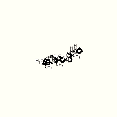 CCCOC12CC3(Cn4ncc(-c5ccc(N6CCCc7c6nnc(Nc6nc8ccccc8[nH]6)c7C)nc5C(=O)O)c4C)CC4(C)CC(C)(C1)C42C3